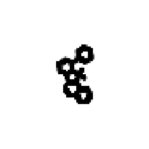 CC1(C)c2c(-c3ccccc3)cncc2-c2ccc3ccccc3c21